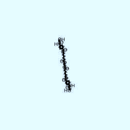 O=C(CO)Nc1ccc(C(=O)OCCCCCC(=O)OCCOC(=O)CCCCCOC(=O)c2ccc(NC(=O)CO)cc2)cc1